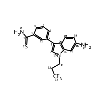 NC(=S)c1cccc(-c2cn(CCC(F)(F)F)c3cc(N)ccc23)c1